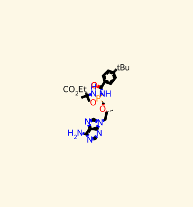 CCOC(=O)C(C)(C)N[P@@](=O)(CO[C@H](C)Cn1cnc2c(N)ncnc21)NC(=O)c1ccc(C(C)(C)C)cc1